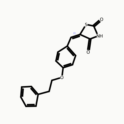 O=C1NC(=O)/C(=C\c2ccc(OCCc3ccccc3)cc2)S1